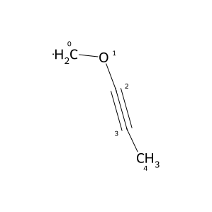 [CH2]OC#CC